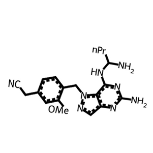 CCCC(N)Nc1nc(N)nc2cnn(Cc3ccc(CC#N)cc3OC)c12